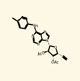 C#C[C@H]1O[C@@H](n2cnc3c(Nc4ccc(C)cc4)ncnc32)[C@H](OC(C)=O)[C@H]1OC(C)=O